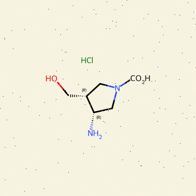 Cl.N[C@H]1CN(C(=O)O)C[C@H]1CO